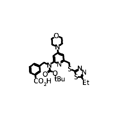 CCc1nnc(SCc2cc(N3CCOCC3)cc(N(Cc3cccc(C(=O)O)c3)C(=O)OC(C)(C)C)n2)s1